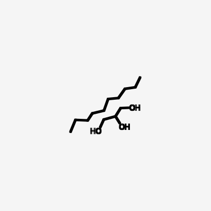 CCCCCCCCCC.OCC(O)CO